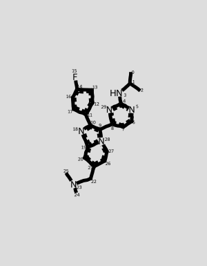 CC(C)Nc1nccc(-c2c(-c3ccc(F)cc3)nc3cc(CN(C)C)ccn23)n1